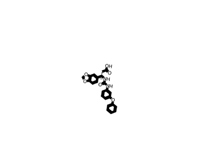 O=C(O)C[C@H](NC(=O)Nc1cccc(Oc2ccccc2)c1)c1ccc2c(c1)OCO2